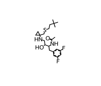 CC(=O)NC(Cc1cc(F)cc(F)c1)C(O)CNC1(CSCCC(C)(C)C)CC1